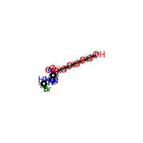 O=[N+]([O-])c1cc2c(Nc3cccc(Br)c3)ncnc2cc1OCCOCCOCCOCCOCCOCCO